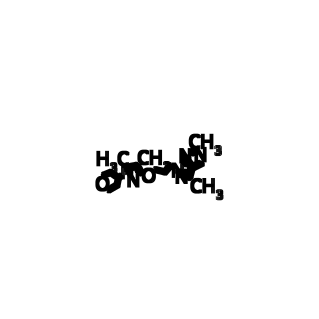 Cc1ncc2c(C)nn(CCCOc3nn(C4CCOCC4)c(C)c3C)c2n1